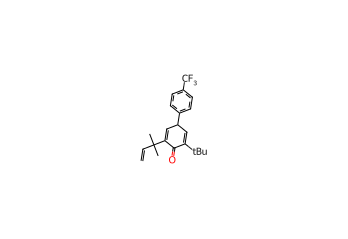 C=CC(C)(C)C1=CC(c2ccc(C(F)(F)F)cc2)C=C(C(C)(C)C)C1=O